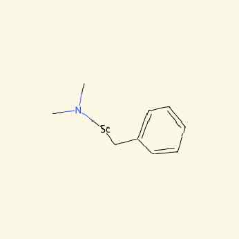 C[N](C)[Sc][CH2]c1ccccc1